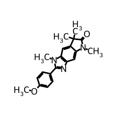 COc1ccc(-c2nc3cc4c(cc3n2C)C(C)(C)C(=O)N4C)cc1